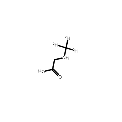 [2H]C([2H])([2H])NCC(=O)O